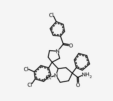 CCN1CCC(C(N)=O)(c2ccccc2)CC1C1(c2ccc(Cl)c(Cl)c2)CCN(C(=O)c2ccc(Cl)cc2)C1